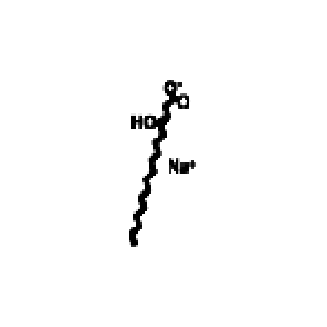 CCCCCCCCCCCCCC(O)=CCC(=O)[O-].[Na+]